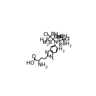 BC(B)(Cl)C(B)(B)N(c1ccc2c(c1)nc(CCC(N)C(=O)O)n2C)C(B)(B)C(B)(B)Cl